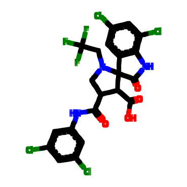 O=C(Nc1cc(Cl)cc(Cl)c1)C1CN(CC(F)(F)F)C2(C(=O)Nc3c(Cl)cc(Cl)cc32)C1C(=O)O